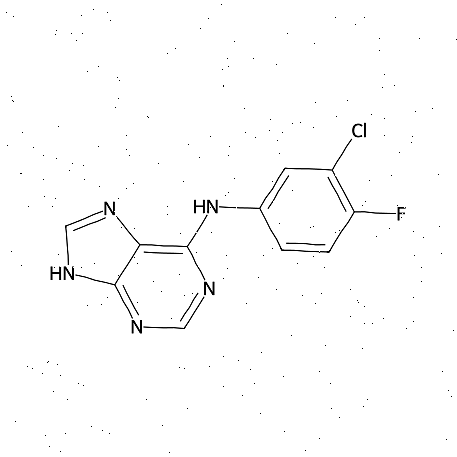 Fc1ccc(Nc2ncnc3[nH]cnc23)cc1Cl